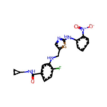 O=C(NC1CC1)c1ccc(F)c(NCc2cnc(Nc3ccccc3[N+](=O)[O-])s2)c1